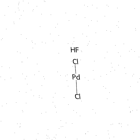 F.[Cl][Pd][Cl]